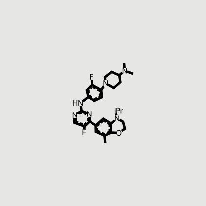 Cc1cc(-c2nc(Nc3ccc(N4CCC(N(C)C)CC4)c(F)c3)ncc2F)cc2c1OCCN2C(C)C